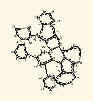 c1ccc(-c2ncc(-n3c4ccccc4c4cccc(-c5ccc6c(c5)c5cccnc5n6-c5ccccc5)c43)c(-c3ccccc3)n2)cc1